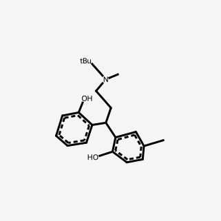 Cc1ccc(O)c(C(CCN(C)C(C)(C)C)c2ccccc2O)c1